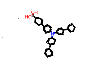 OB(O)C1=CC=C(c2ccc(N(c3ccc(C4=CCCC=C4)cc3)C3C=CC(c4ccccc4)=CC3)cc2)CC1